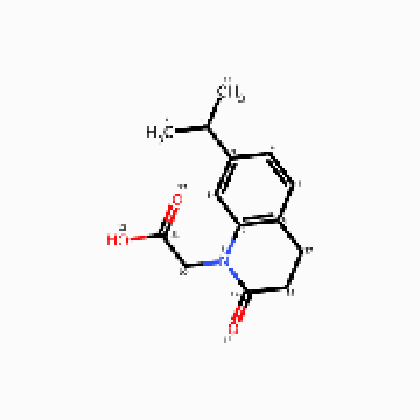 CC(C)c1ccc2c(c1)N(CC(=O)O)C(=O)CC2